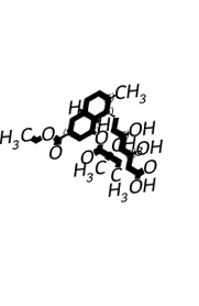 CCOC(=O)[C@H]1C[C@@H]2CC[C@H](C)[C@H](CC[C@@H](O)C[C@@H](O)CC(=O)O)[C@@H]2[C@@H](OC(=O)C(C)(C)CC)C1